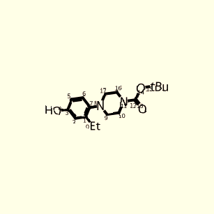 CCc1cc(O)ccc1N1CCN(C(=O)OC(C)(C)C)CC1